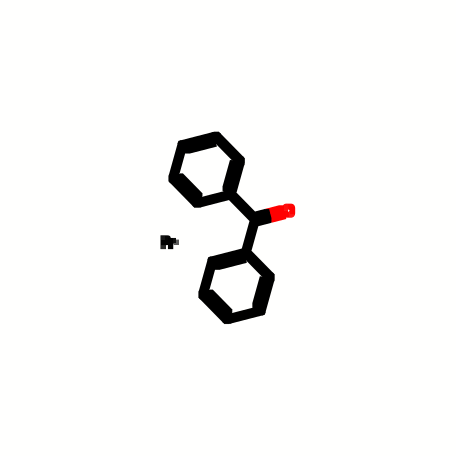 O=C(c1ccccc1)c1ccccc1.[Pr]